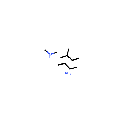 CCC(C)C.CCCC.CNC.N